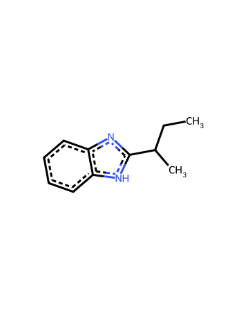 CCC(C)c1nc2ccccc2[nH]1